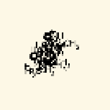 C=C[C@@H]1C[C@]1(NC(=O)[C@@H]1C[C@@](C(C)C)(C2CCC2)CN1C(=O)[C@@H](NC(=O)[C@@H](NC(=O)NC(C)(C)C)C1CCCCC1)C(C)(C)C)C(=O)NS(=O)(=O)c1cccc2cc[nH]c12